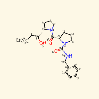 CCOC(=O)CC(O)[C@@H]1CCCN1C(=O)[C@@H]1CCCN1C(=O)NCc1ccccc1